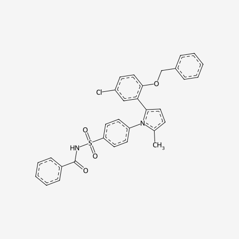 Cc1ccc(-c2cc(Cl)ccc2OCc2ccccc2)n1-c1ccc(S(=O)(=O)NC(=O)c2ccccc2)cc1